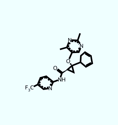 Cc1ncc(O[C@@]2(C3C=CC=CC3)C[C@H]2C(=O)Nc2ccc(C(F)(F)F)cn2)c(C)n1